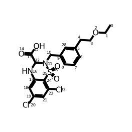 CCOCCc1cccc(CN2C(C(=O)O)Nc3cc(Cl)cc(Cl)c3S2(=O)=O)c1